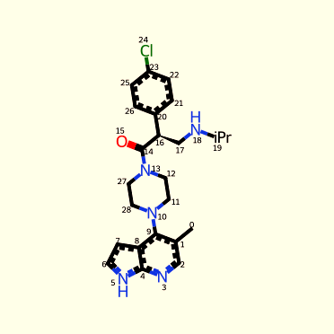 Cc1cnc2[nH]ccc2c1N1CCN(C(=O)[C@H](CNC(C)C)c2ccc(Cl)cc2)CC1